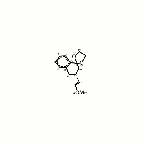 CO/C=C/[C@@H]1Cc2ccccc2C2(C1)OCCO2